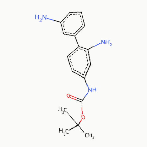 CC(C)(C)OC(=O)Nc1ccc(-c2cccc(N)c2)c(N)c1